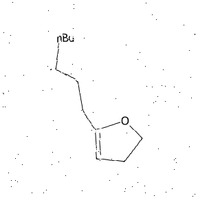 CCCCCCCC1=CCCO1